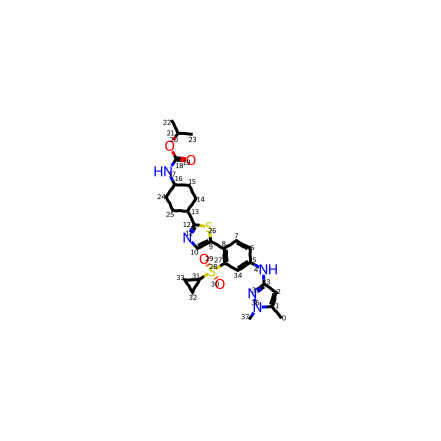 Cc1cc(Nc2ccc(-c3cnc(C4CCC(NC(=O)OC(C)C)CC4)s3)c(S(=O)(=O)C3CC3)c2)nn1C